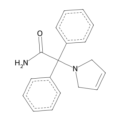 NC(=O)C(c1ccccc1)(c1ccccc1)N1CC=CC1